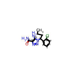 CCCC(c1ccccc1Cl)n1nnc(C(N)=O)c1N